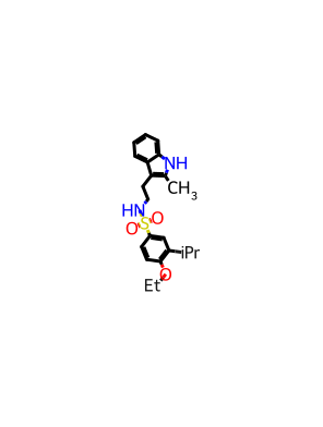 CCOc1ccc(S(=O)(=O)NCCc2c(C)[nH]c3ccccc23)cc1C(C)C